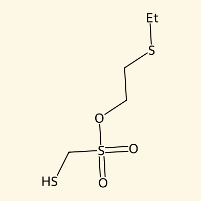 CCSCCOS(=O)(=O)CS